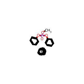 COP(=O)(Oc1ccccc1)Oc1ccccc1.[CH]12[CH]3[CH]4[CH]5[CH]1[Fe]23451678[CH]2[CH]1[CH]6[CH]7[CH]28